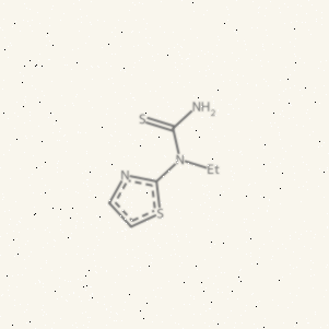 CCN(C(N)=S)c1nccs1